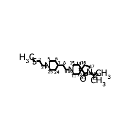 CSCCN1CCC(CCN2CCC3(CC2)CCN(C(C)C)C3=O)CC1